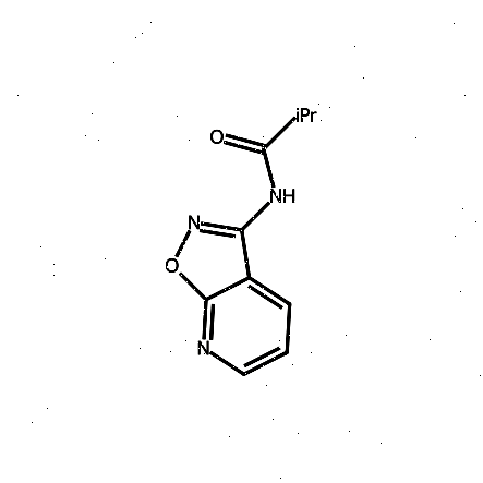 CC(C)C(=O)Nc1noc2ncccc12